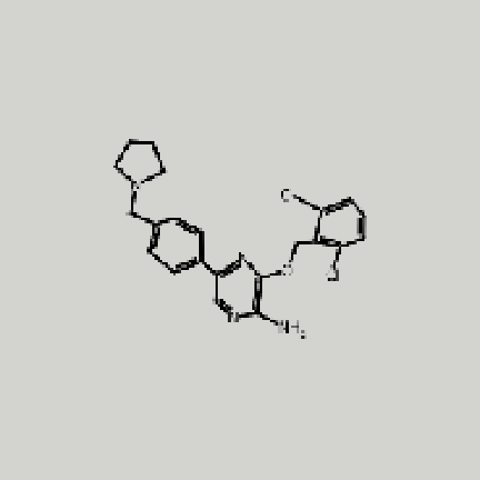 Nc1ncc(-c2ccc([CH]N3CCCC3)cc2)nc1OCc1c(Cl)cccc1Cl